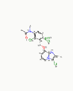 CC(=O)N(C)c1ccc(Cl)c(COc2cccn3c(Cl)c(C)nc23)c1Cl.Cl